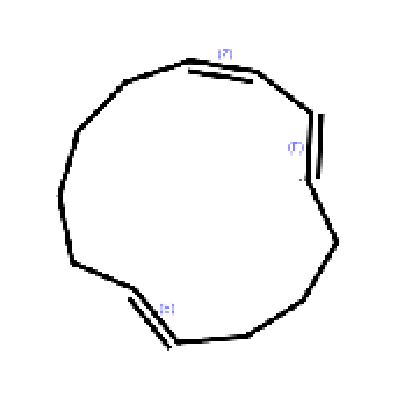 [C]1=C/C=C\CCCC/C=C/CCC/1